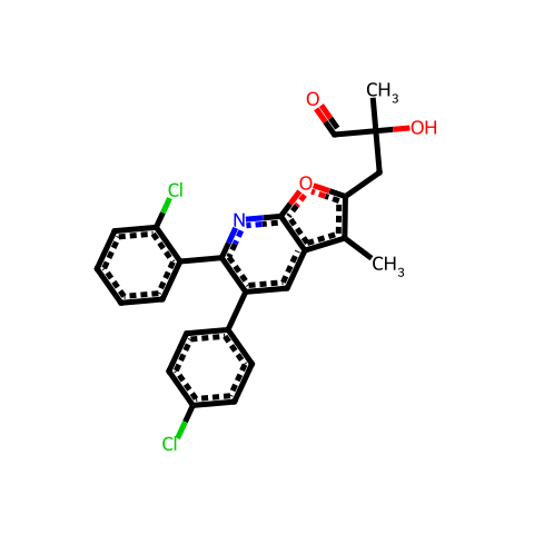 Cc1c(CC(C)(O)C=O)oc2nc(-c3ccccc3Cl)c(-c3ccc(Cl)cc3)cc12